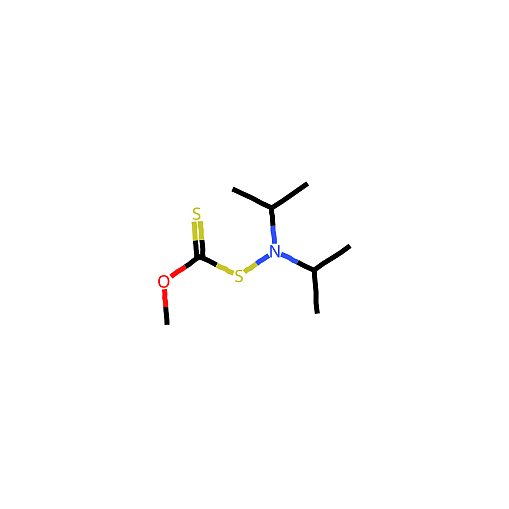 COC(=S)SN(C(C)C)C(C)C